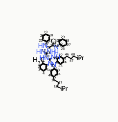 Cc1ccccc1N(C(=N)NC(=N)NC(Nc1ccccc1)C(C)Nc1ccccc1)N(c1ccc(CCCC(C)C)cc1)c1ccc(CCCC(C)C)cc1